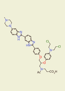 CC(=O)N(CCC(=O)O)CC(COc1ccc(-c2nc3ccc(-c4nc5cc(N6CCN(C)CC6)ccc5[nH]4)cc3[nH]2)cc1)Oc1ccc(N(CCCl)CCCl)cc1